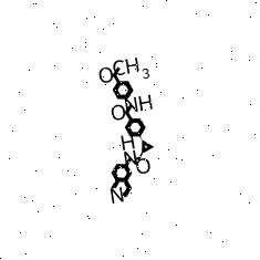 CC(=O)c1ccc(NC(=O)c2ccc([C@@H]3C[C@H]3C(=O)Nc3ccc4cnccc4c3)cc2)cc1